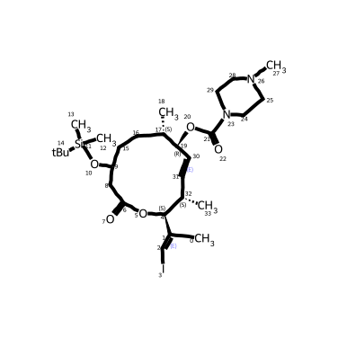 C/C(=C\I)[C@H]1OC(=O)CC(O[Si](C)(C)C(C)(C)C)CC[C@H](C)[C@@H](OC(=O)N2CCN(C)CC2)/C=C/[C@@H]1C